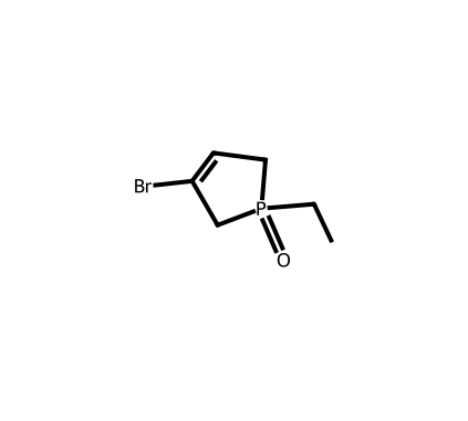 CCP1(=O)CC=C(Br)C1